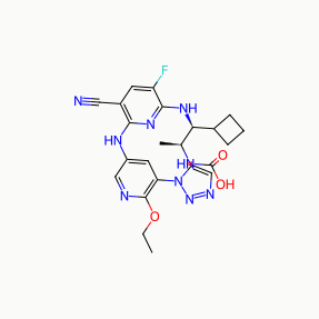 CCOc1ncc(Nc2nc(N[C@@H](C3CCC3)[C@H](C)NC(=O)O)c(F)cc2C#N)cc1-n1ccnn1